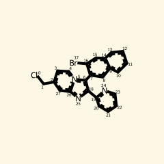 ClCc1ccn2c(-c3cc4ccccc4cc3Br)c(-c3ccccn3)nc2c1